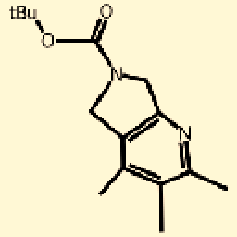 Cc1nc2c(c(C)c1C)CN(C(=O)OC(C)(C)C)C2